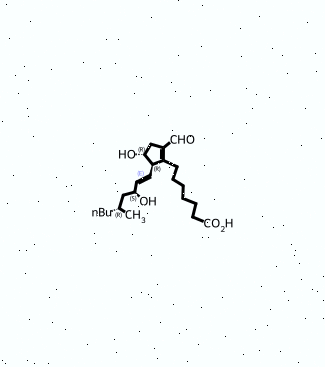 CCCC[C@@H](C)C[C@H](O)/C=C/[C@@H]1C(CCCCCCC(=O)O)=C(C=O)C[C@H]1O